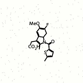 COC1=C(F)CC2C(=C1)C(CC(=O)O)=C(C)N2C(=O)c1ccc(C)s1